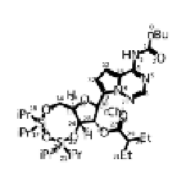 CCCCC(=O)Nc1ncnn2c([C@]3(C#N)O[C@@H]4CO[Si](C(C)C)(C(C)C)O[Si](C(C)C)(C(C)C)O[C@H]4[C@H]3OC(=O)C(CC)CC)ccc12